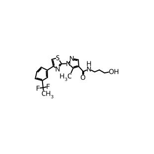 Cc1c(C(=O)NCCCO)cnn1-c1nc(-c2cccc(C(C)(F)F)c2)cs1